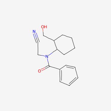 N#CCN(C(=O)c1ccccc1)C1CCCCC1CO